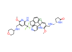 COC1=C(CNC[C@@H]2CCC(=O)N2)C=C(Cl)C(c2ccncc2)(c2cccc3c2CC[C@@H]3Nc2nc(OC)c(CNC3CCOCC3)cc2C(F)(F)F)N1